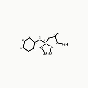 CCO[Si](CC(C)CS)(OCC)OC1CCCCC1